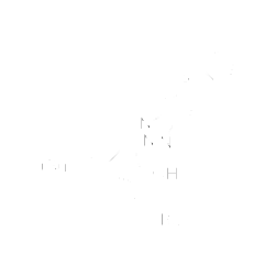 CC(C)(C)CC(C)(C)c1cc(-n2nc3ccc(Sc4ccccc4)cc3n2)c(O)c(C(C)(C)CC(C)(C)C)c1